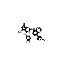 Cn1cc(-c2ccc(Nc3nc(NC4CCC(F)(F)C4)c4c(C#N)c[nH]c4n3)c3c2OCCO3)cn1